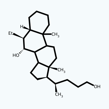 CC[C@@H]1[C@@H](O)C2C(CC[C@@]3(C)C2CC[C@@H]3[C@H](C)CCCO)C2(C)CCCC[C@@H]12